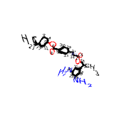 C=CC1CCC(OC(=O)c2ccc(/C=C/C(=O)OCC(C)c3cc(N)cc(N)c3)cc2)CC1